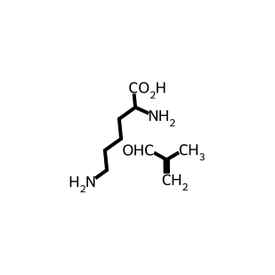 C=C(C)C=O.NCCCCC(N)C(=O)O